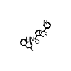 Cc1cc(NC(=O)c2ccn3c2CSC3c2cccnc2)c2ccccc2c1